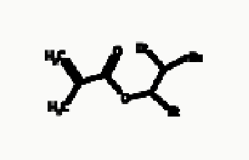 C=C(C)C(=O)OC(CC)C(CC)CCCC